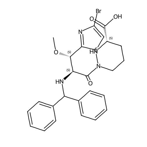 CO[C@H](c1nc(Br)cs1)[C@H](NC(c1ccccc1)c1ccccc1)C(=O)N1CCC[C@@H](C(=O)O)N1